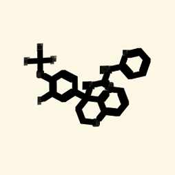 O=C(Nc1ccccn1)NC1(c2ccc(OC(F)(F)F)c(F)c2)CCOc2cccnc21